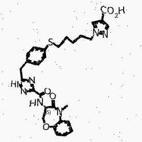 CN1C(=O)[C@@H](NC(=O)c2n[nH]c(Cc3ccc(SCCCCCn4cc(C(=O)O)cn4)cc3)n2)COc2ccccc21